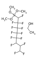 CCO.CO[Si](OC)(OC)C(F)C(F)(F)C(F)(F)C(F)(F)C(F)(F)C(F)C(F)C(F)F